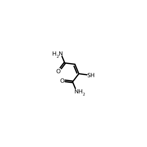 NC(=O)/C=C(/S)C(N)=O